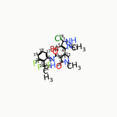 CN1C[C@H](C2=C(Br)C(Cl)NN2C)[C@@H](C(=O)Nc2cccc(F)c2C(C)(F)F)C1=O